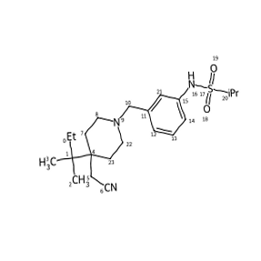 CCC(C)(C)C1(CC#N)CCN(Cc2cccc(NS(=O)(=O)C(C)C)c2)CC1